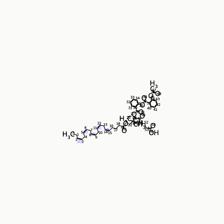 CC/C=C\C/C=C\C/C=C\C/C=C\C/C=C\CCCC(=O)OCC(C)(C)[C@@H](OC(=O)c1ccccc1OC(=O)c1ccccc1OC(C)=O)C(=O)NCCC(=O)O